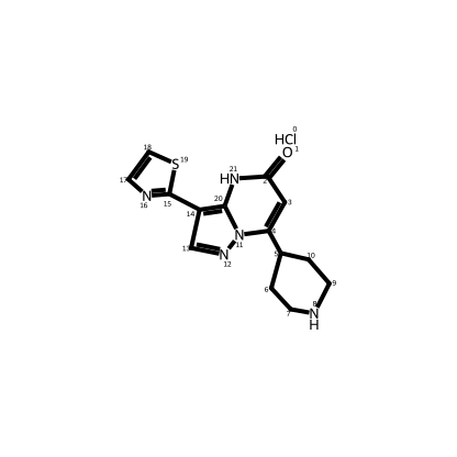 Cl.O=c1cc(C2CCNCC2)n2ncc(-c3nccs3)c2[nH]1